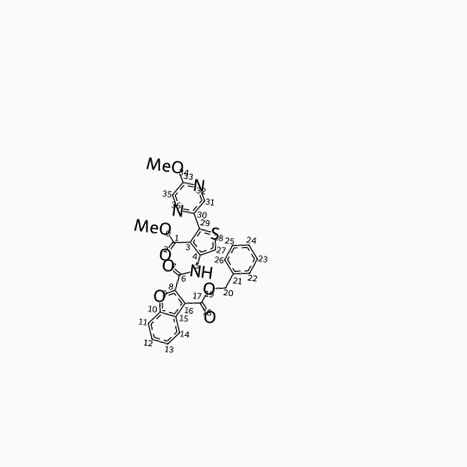 COC(=O)c1c(NC(=O)c2oc3ccccc3c2C(=O)OCc2ccccc2)csc1-c1cnc(OC)cn1